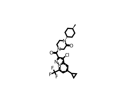 C[C@H]1CC[C@H](N2CCN(C(=O)c3nn4c(C(F)(F)F)cc(C5CC5)cc4c3Cl)CC2=O)CC1